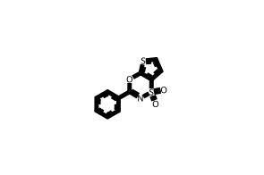 O=S1(=O)N=C(c2ccccc2)Oc2sccc21